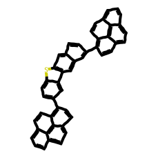 c1cc2ccc3ccc(-c4ccc5cc6sc7ccc(-c8ccc9ccc%10cccc%11ccc8c9c%10%11)cc7c6cc5c4)c4ccc(c1)c2c34